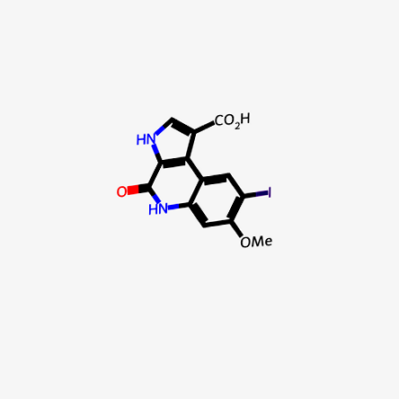 COc1cc2[nH]c(=O)c3[nH]cc(C(=O)O)c3c2cc1I